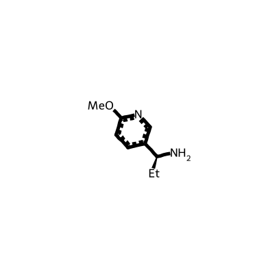 CC[C@H](N)c1ccc(OC)nc1